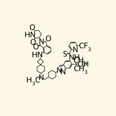 CN(CC1CCC(n2cc3cc(NC(=S)c4cccc(C(F)(F)F)n4)c(C(C)(C)O)cc3n2)CC1)C1CCC2(CC1)CC(Nc1cccc3c1C(=O)N(C1CCC(=O)NC1=O)C3=O)C2